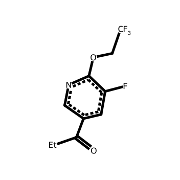 CCC(=O)c1cnc(OCC(F)(F)F)c(F)c1